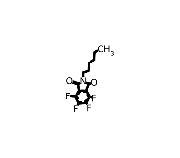 CCCCCCN1C(=O)c2c(F)c(F)c(F)c(F)c2C1=O